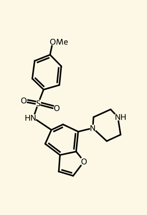 COc1ccc(S(=O)(=O)Nc2cc(N3CCNCC3)c3occc3c2)cc1